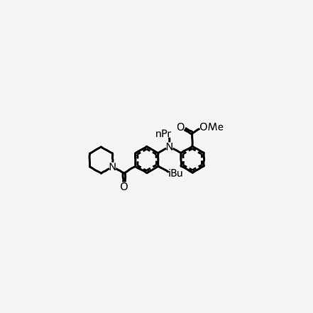 CCCN(c1ccccc1C(=O)OC)c1ccc(C(=O)N2CCCCC2)cc1C(C)CC